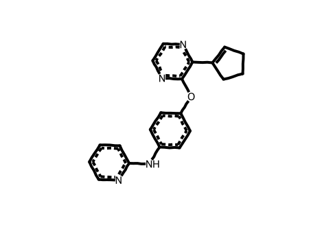 C1=C(c2nccnc2Oc2ccc(Nc3ccccn3)cc2)CCC1